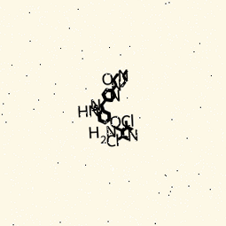 CN1CCN(c2ccc(-c3n[nH]c4ccc(O[C@H](N)c5c(Cl)cncc5Cl)cc34)cn2)C(=O)C1